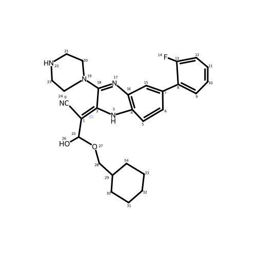 N#C/C(=C1/Nc2ccc(-c3ccccc3F)cc2N=C1N1CCNCC1)C(O)OCC1CCCCC1